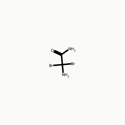 NC(=O)C(N)(Br)Br